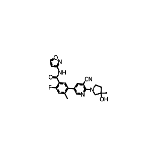 Cc1cc(F)c(C(=O)Nc2ccon2)cc1-c1cnc(N2CC[C@](C)(O)C2)c(C#N)c1